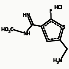 Cl.N=C(NC(=O)O)c1cc(CN)sc1F